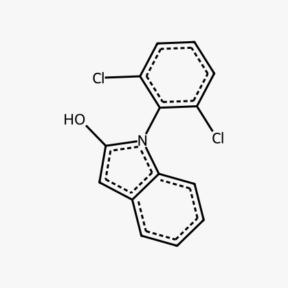 Oc1cc2ccccc2n1-c1c(Cl)cccc1Cl